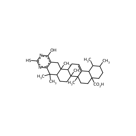 CC1CCC2(C(=O)O)CCC3(C)C(=CCC4C5(C)Cc6c(O)nc(S)nc6C(C)(C)C5CCC43C)C2C1C